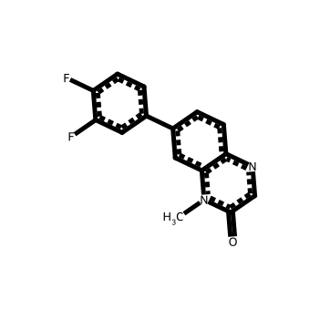 Cn1c(=O)cnc2ccc(-c3ccc(F)c(F)c3)cc21